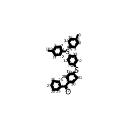 Cc1ccc([S+](c2ccc(C)cc2)c2ccc(Sc3ccc(C(=O)c4ccccc4)cc3)cc2)cc1